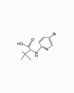 CC(C)(C)C(Nc1ccc(Br)cn1)C(=O)O